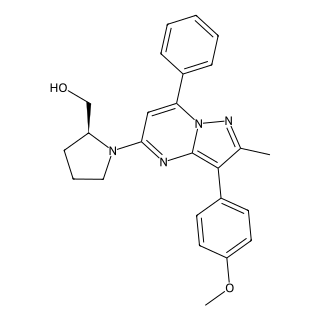 COc1ccc(-c2c(C)nn3c(-c4ccccc4)cc(N4CCC[C@H]4CO)nc23)cc1